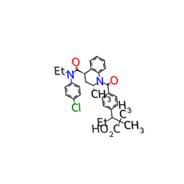 CCC(c1ccc(C(=O)N2c3ccccc3[C@H](C(=O)N(CC)c3ccc(Cl)cc3)C[C@H]2C)cc1)C(C)(C)C(=O)O